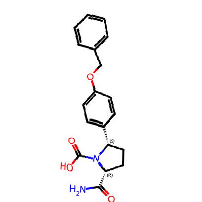 NC(=O)[C@H]1CC[C@@H](c2ccc(OCc3ccccc3)cc2)N1C(=O)O